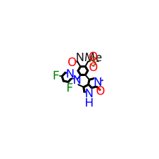 CNC(=O)c1cc2c(cc1CS(C)(=O)=O)-c1cn(C)c(=O)c3[nH]cc(c13)CN2c1ncc(F)cc1F